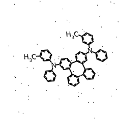 Cc1cccc(N(c2ccccc2)c2ccc3c(c2)-c2ccccc2-c2ccccc2-c2cc(N(c4ccccc4)c4cccc(C)c4)ccc2-3)c1